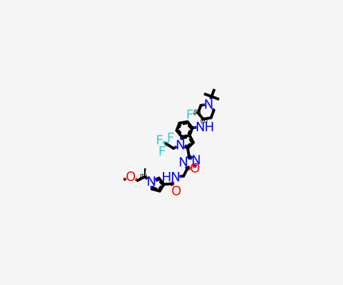 COC[C@@H](C)n1ccc(C(=O)NCc2nc(-c3cc4c(N[C@H]5CCN(C(C)(C)C)C[C@H]5F)cccc4n3CC(F)(F)F)no2)c1